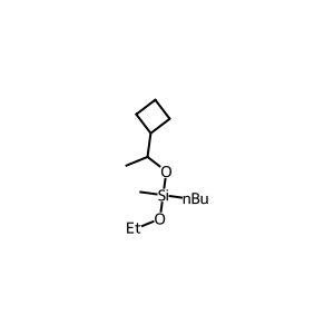 CCCC[Si](C)(OCC)OC(C)C1CCC1